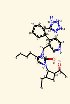 CCCCc1cn(C2C(CC)CC2C(C)=O)c(=O)n1Cc1cnccc1-c1ccccc1-c1nnn[nH]1